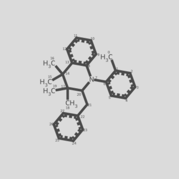 Cc1ccccc1N1c2ccccc2C(C)(C)C(C)(C)C1Cc1ccccc1